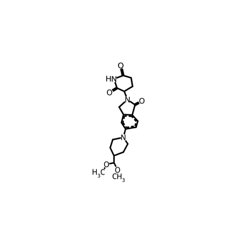 COC(OC)C1CCN(c2ccc3c(c2)CN(C2CCC(=O)NC2=O)C3=O)CC1